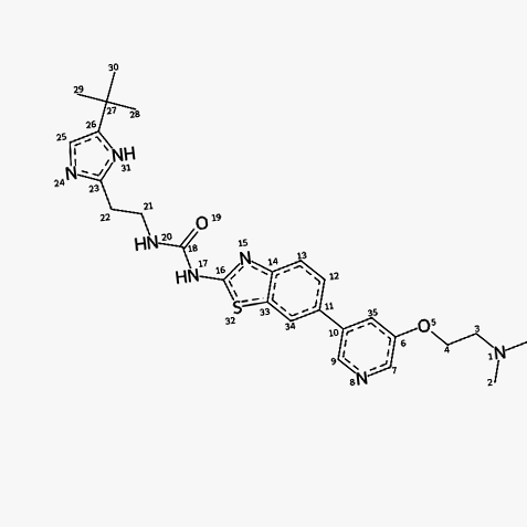 CN(C)CCOc1cncc(-c2ccc3nc(NC(=O)NCCc4ncc(C(C)(C)C)[nH]4)sc3c2)c1